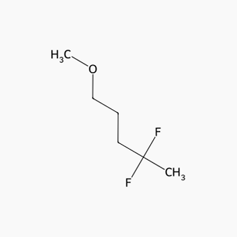 COCCCC(C)(F)F